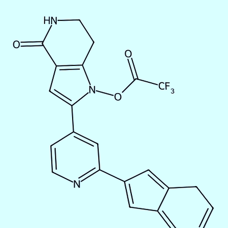 O=C1NCCc2c1cc(-c1ccnc(C3=CC4=CC=CCC4=C3)c1)n2OC(=O)C(F)(F)F